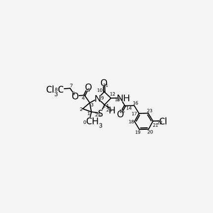 CC12CC1(C(=O)OCC(Cl)(Cl)Cl)N1C(=O)C(NC(=O)Cc3cccc(Cl)c3)[C@@H]1S2